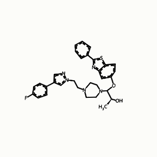 C[C@H](O)C(Oc1ccc2sc(-c3ccccc3)nc2c1)N1CCN(CCn2cc(-c3ccc(F)cc3)cn2)CC1